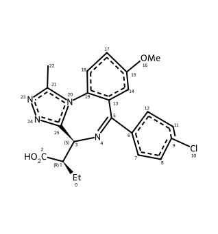 CC[C@@H](C(=O)O)[C@@H]1N=C(c2ccc(Cl)cc2)c2cc(OC)ccc2-n2c(C)nnc21